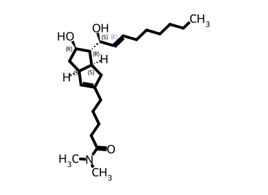 CCCCCC/C=C/[C@H](O)[C@@H]1[C@H]2CC(CCCCC(=O)N(C)C)=C[C@H]2C[C@H]1O